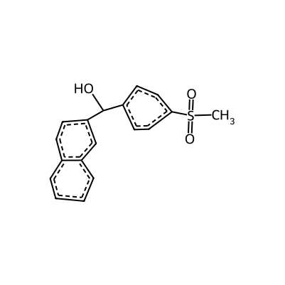 CS(=O)(=O)c1ccc(C(O)c2ccc3ccccc3c2)cc1